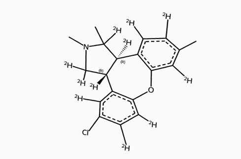 [2H]c1c([2H])c2c(c([2H])c1C)Oc1c([2H])c([2H])c(Cl)c([2H])c1[C@]1([2H])C([2H])([2H])N(C)C([2H])(C)[C@@]21[2H]